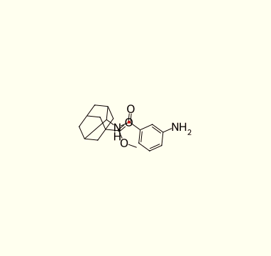 COC(=O)C12CC3CC(C1)C(NC(=O)c1cccc(N)c1)C(C3)C2